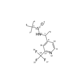 CC(N[S+]([O-])C(C)(C)C)c1ccnc(C(F)(F)F)c1